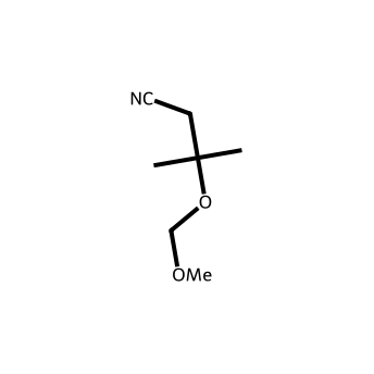 [CH2]OCOC(C)(C)CC#N